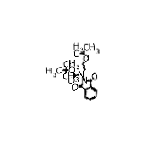 CC(C)OCCN(C(=O)OC(C)(C)C)N1C(=O)c2ccccc2C1=O